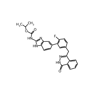 CC(C)OC(=O)Nc1nc2cc(-c3cc(Cc4n[nH]c(=O)c5ccccc45)ccc3F)ccc2[nH]1